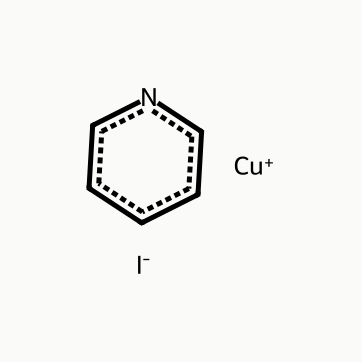 [Cu+].[I-].c1ccncc1